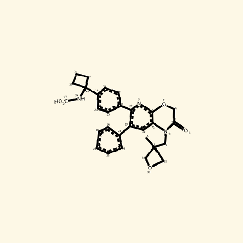 CC1(CN2C(=O)COc3nc(-c4ccc(C5(NC(=O)O)CCC5)cc4)c(-c4ccccc4)cc32)COC1